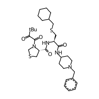 CC(C)(C)C(=O)C(=O)N1CSC[C@H]1C(=O)N[C@@H](CSCC1CCCCC1)C(=O)NC1CCN(Cc2ccccc2)CC1